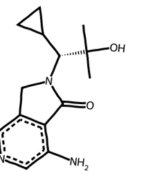 CC(C)(O)[C@@H](C1CC1)N1Cc2cncc(N)c2C1=O